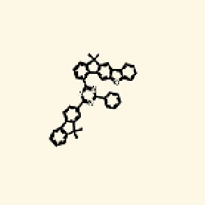 CC1(C)c2ccccc2-c2ccc(-c3nc(-c4ccccc4)nc(-c4cccc5c4-c4cc6oc7ccccc7c6cc4C5(C)C)n3)cc21